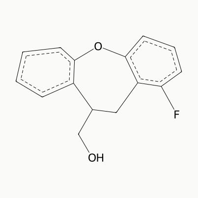 OCC1Cc2c(F)cccc2Oc2ccccc21